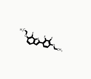 CCOc1ccc(-c2cc3ccc(OCC)c(F)c3s2)c(F)c1F